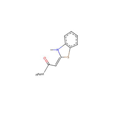 CCCCCC(=O)/C=C1/Sc2ccccc2N1C